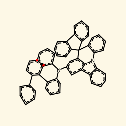 c1ccc(-c2ccccc2-c2ccccc2N(c2ccccc2)c2cc3c4c(c2)c2ccccc2n4-c2ccccc2C32c3ccccc3-c3ccccc32)cc1